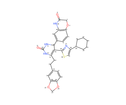 O=C1COc2ccc(C3NC(=O)NC(CCc4ccc5c(c4)OCO5)=C3c3nc(C4CCCCC4)cs3)cc2N1